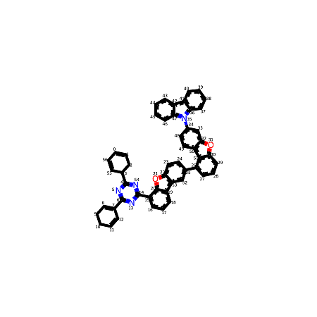 C1=CCC(c2nc(C3=CCCC=C3)nc(-c3cccc4c3oc3ccc(-c5cccc6oc7cc(-n8c9ccccc9c9ccccc98)ccc7c56)cc34)n2)C=C1